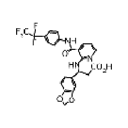 O=C(O)CC(Nc1ncccc1C(=O)Nc1ccc(C(F)(F)C(F)(F)F)cc1)c1ccc2c(c1)OCO2